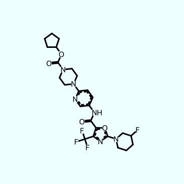 O=C(Nc1ccc(N2CCN(C(=O)OC3CCCC3)CC2)nc1)c1oc(N2CCCC(F)C2)nc1C(F)(F)F